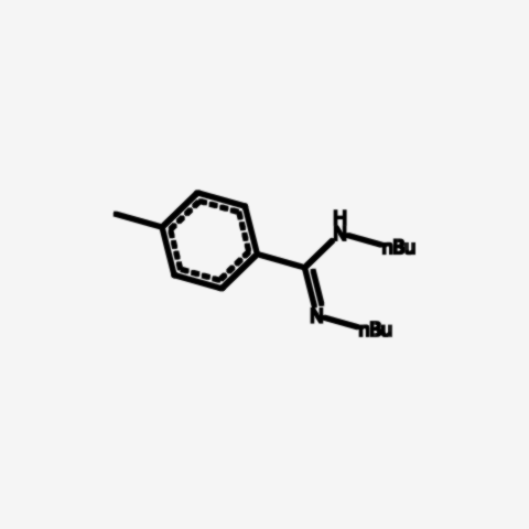 CCCCN=C(NCCCC)c1ccc(C)cc1